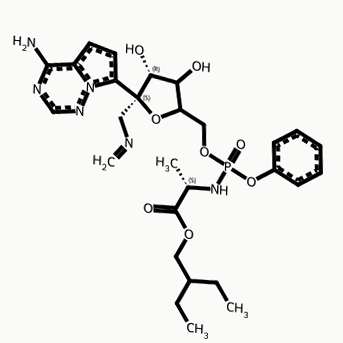 C=NC[C@@]1(c2ccc3c(N)ncnn23)OC(COP(=O)(N[C@@H](C)C(=O)OCC(CC)CC)Oc2ccccc2)C(O)[C@H]1O